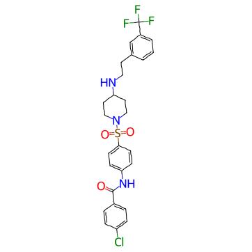 O=C(Nc1ccc(S(=O)(=O)N2CCC(NCCc3cccc(C(F)(F)F)c3)CC2)cc1)c1ccc(Cl)cc1